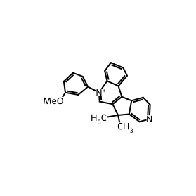 COc1cccc(-[n+]2cc3c(c4ccccc42)-c2ccncc2C3(C)C)c1